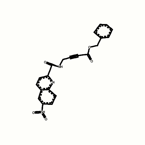 O=C(C#CCNC(=O)c1ccc2cc([SH](=O)=O)ccc2n1)OCc1ccccc1